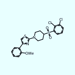 COc1ccccc1-c1csc(N2CCC(S(=O)(=O)c3cccc(Cl)c3Cl)CC2)n1